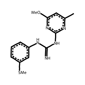 COc1cc(C)nc(NC(=N)Nc2cccc(SC)c2)n1